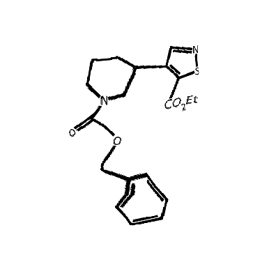 CCOC(=O)c1sncc1C1CCCN(C(=O)OCc2ccccc2)C1